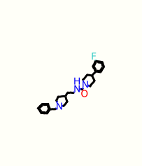 O=C(NCCC1CCN(Cc2ccccc2)CC1)N1CCC(c2cccc(F)c2)CC1